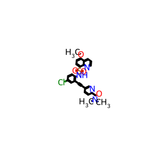 COc1ccc(S(=O)(=O)Nc2ccc(Cl)cc2C#Cc2ccc(C(=O)N(C)C)nc2)c2ncccc12